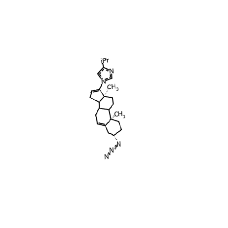 CC(C)c1cn(C2=CCC3C4CC=C5C[C@@H](N=[N+]=[N-])CC[C@]5(C)C4CC[C@]23C)cn1